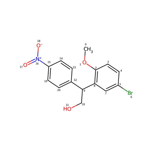 COc1ccc(Br)cc1C(CO)c1ccc([N+](=O)[O-])cc1